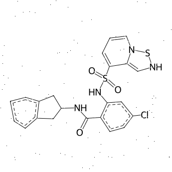 O=C(NC1Cc2ccccc2C1)c1ccc(Cl)cc1NS(=O)(=O)C1=CC=CN2SNC=C12